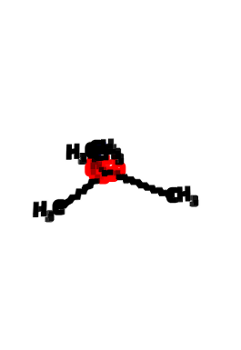 CCCCCCCCCCCCCCCCC(=O)OC[C@H](COP(=O)(O)OCC[N+](C)(C)C)OC(=O)CCCCCCCCCCCC